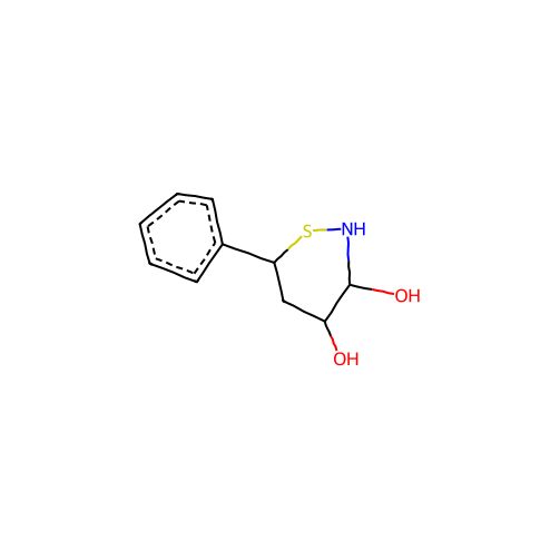 OC1CC(c2ccccc2)SNC1O